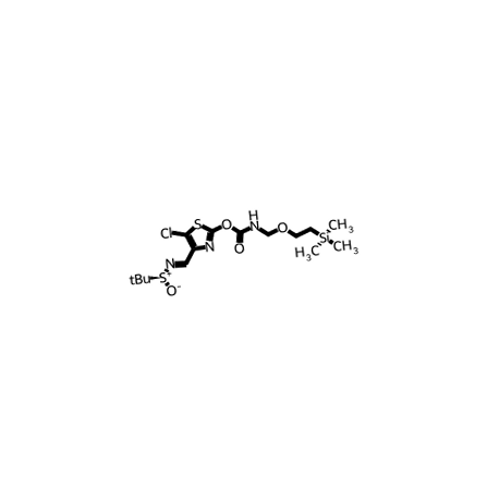 CC(C)(C)[S@+]([O-])N=Cc1nc(OC(=O)NCOCC[Si](C)(C)C)sc1Cl